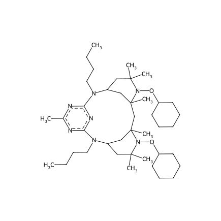 CCCCN1c2nc(C)nc(n2)N(CCCC)C2CC(C)(C)N(OC3CCCCC3)C(C)(C2)CC2(C)CC1CC(C)(C)N2OC1CCCCC1